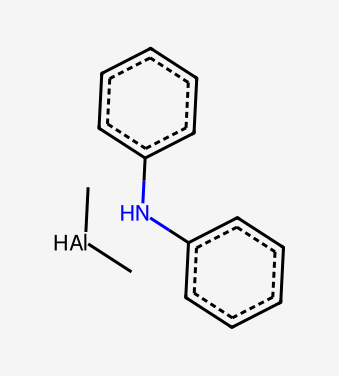 [CH3][AlH][CH3].c1ccc(Nc2ccccc2)cc1